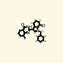 Cc1cccc2c(=O)[nH]c(-c3cn(Cc4ccccc4)c4c(Cl)cccc34)nc12